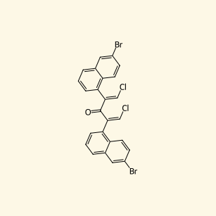 O=C(C(=CCl)c1cccc2cc(Br)ccc12)C(=CCl)c1cccc2cc(Br)ccc12